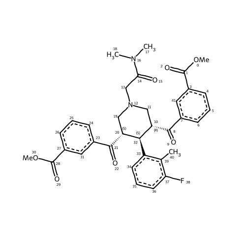 COC(=O)c1cccc(C(=O)[C@H]2CN(CC(=O)N(C)C)C[C@@H](C(=O)c3cccc(C(=O)OC)c3)[C@@H]2c2cccc(F)c2C)c1